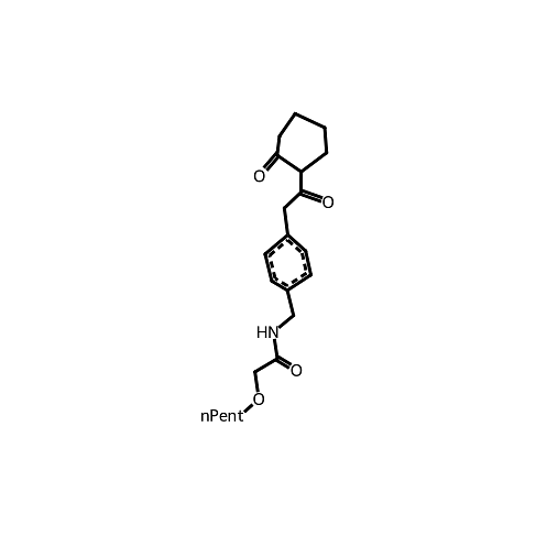 CCCCCOCC(=O)NCc1ccc(CC(=O)C2CCCCC2=O)cc1